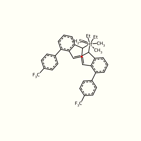 C[CH2][Hf]([CH3])([CH3])(=[SiH2])([CH2]C)([CH]1C=Cc2c(-c3ccc(C(F)(F)F)cc3)cccc21)[CH]1C=Cc2c(-c3ccc(C(F)(F)F)cc3)cccc21